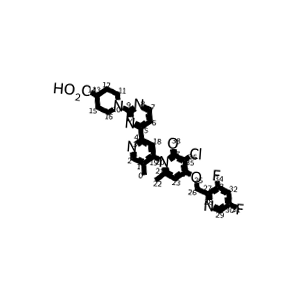 Cc1cnc(-c2ccnc(N3CCC(C(=O)O)CC3)n2)cc1-n1c(C)cc(OCc2ncc(F)cc2F)c(Cl)c1=O